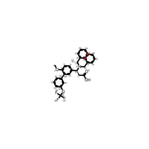 COc1ccc([C@H](CC(=O)O)N(Cc2ccccc2)[C@H](C)c2ccccc2)cc1-c1cccc(OC(F)(F)F)c1